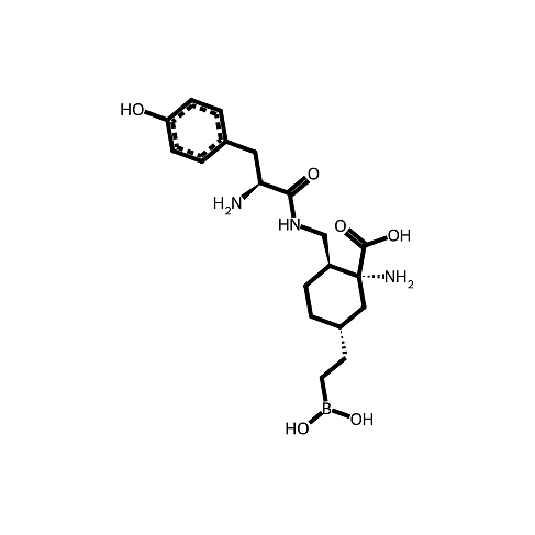 N[C@@H](Cc1ccc(O)cc1)C(=O)NC[C@@H]1CC[C@@H](CCB(O)O)C[C@]1(N)C(=O)O